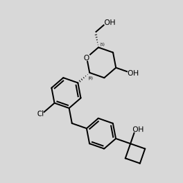 OC[C@@H]1CC(O)C[C@H](c2ccc(Cl)c(Cc3ccc(C4(O)CCC4)cc3)c2)O1